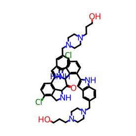 O=C(C1NCc2c(Cl)ccc(-c3cc4cc(CN5CCN(CCCO)CC5)ccc4[nH]3)c21)C1NCc2c(Cl)ccc(-c3cc4cc(CN5CCN(CCCO)CC5)ccc4[nH]3)c21